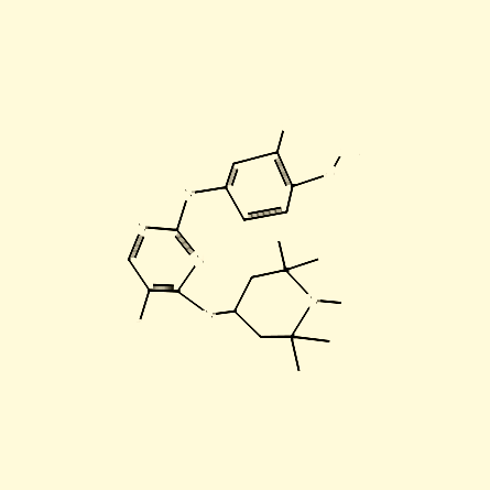 CN1C(C)(C)CC(Nc2nc(Nc3ccc(OC(F)(F)F)c(Cl)c3)ncc2F)CC1(C)C